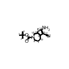 CC(C)(C)OC(=O)N1CCCc2c(sc(N)c2C#N)C1